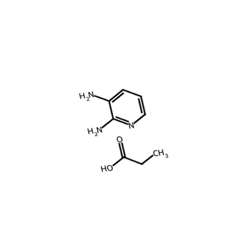 CCC(=O)O.Nc1cccnc1N